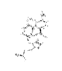 C=C(F)CCc1nnc(NC(=O)c2cnc(C)cc2-c2cc(Cl)ncc2OC)s1